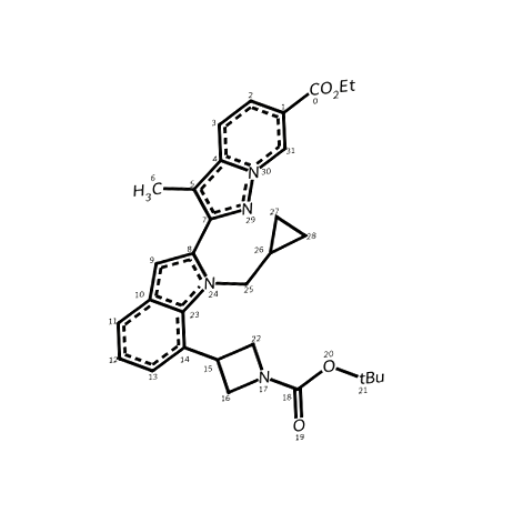 CCOC(=O)c1ccc2c(C)c(-c3cc4cccc(C5CN(C(=O)OC(C)(C)C)C5)c4n3CC3CC3)nn2c1